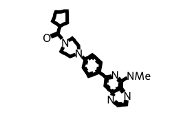 CNc1nc(-c2ccc(N3CCN(C(=O)C4CCCC4)CC3)cc2)cc2nccnc12